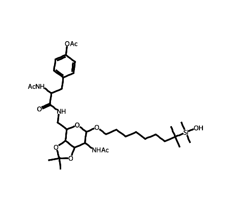 CC(=O)NC(Cc1ccc(OC(C)=O)cc1)C(=O)NCC1OC(OCCCCCCCC(C)(C)[Si](C)(C)O)C(NC(C)=O)C2OC(C)(C)OC12